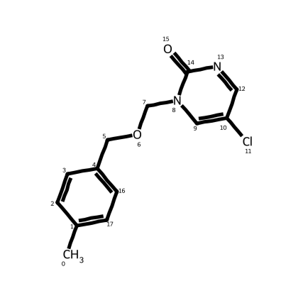 Cc1ccc(COCn2cc(Cl)cnc2=O)cc1